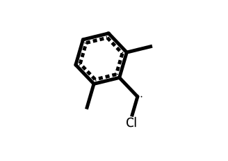 Cc1cccc(C)c1[CH]Cl